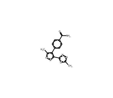 Cc1nnc(-c2noc(C)c2-c2ccc(C(N)=O)cc2)o1